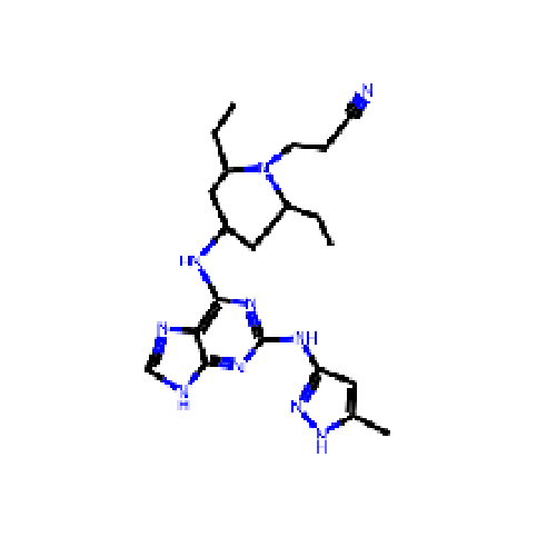 CCC1CC(Nc2nc(Nc3cc(C)[nH]n3)nc3[nH]cnc23)CC(CC)N1CCC#N